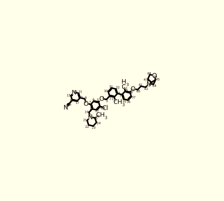 Cc1c(COc2cc(OCc3cncc(C#N)c3)c(CN3CCCC[C@H]3C)cc2Cl)cccc1-c1cccc(OCCCN2CC3CC2CO3)c1C